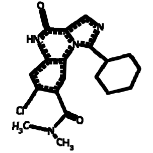 CN(C)C(=O)c1cc2c(cc1Cl)[nH]c(=O)c1cnc(C3CCCCC3)n12